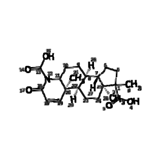 CC1(C(=O)O)CC[C@H]2[C@@H]3CCC4N(C(=O)O)C(=O)C=C[C@]4(C)[C@@H]3CC[C@@]21C